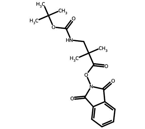 CC(C)(C)OC(=O)NCC(C)(C)C(=O)ON1C(=O)c2ccccc2C1=O